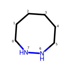 [CH]1CCCCCNN1